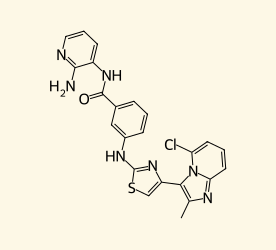 Cc1nc2cccc(Cl)n2c1-c1csc(Nc2cccc(C(=O)Nc3cccnc3N)c2)n1